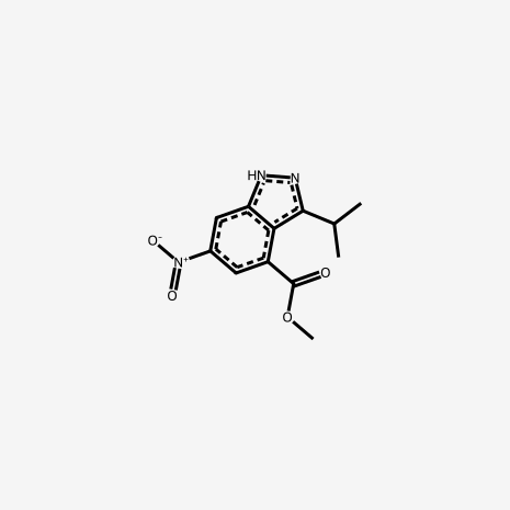 COC(=O)c1cc([N+](=O)[O-])cc2[nH]nc(C(C)C)c12